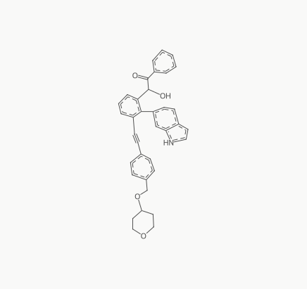 O=C(c1ccccc1)C(O)c1cccc(C#Cc2ccc(COC3CCOCC3)cc2)c1-c1ccc2cc[nH]c2c1